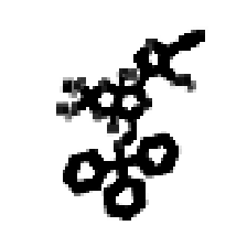 CC1(C)O[C@@H]2[C@@H](COC(c3ccccc3)(c3ccccc3)c3ccccc3)O[C@H](c3coc(C#N)c3N)[C@]2(C)O1